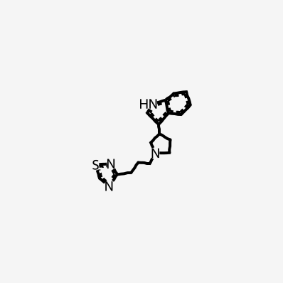 c1ccc2c(C3CCN(CCCc4ncsn4)C3)c[nH]c2c1